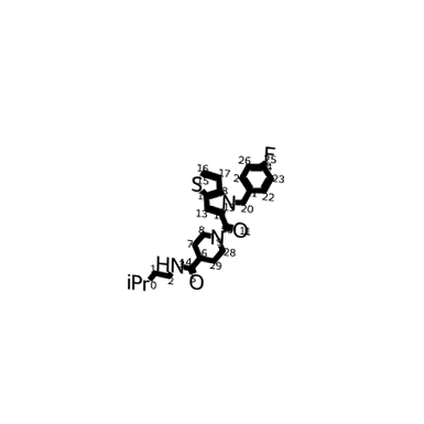 CC(C)CCNC(=O)C1CCN(C(=O)c2cc3sccc3n2Cc2ccc(F)cc2)CC1